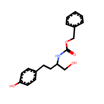 O=C(NC(CO)CCc1ccc(O)cc1)OCc1ccccc1